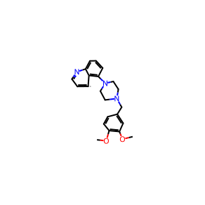 COc1ccc(CN2CCN(c3cccc4ncc[c]c34)CC2)cc1OC